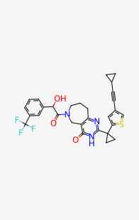 O=C(C(O)c1cccc(C(F)(F)F)c1)N1CCCc2nc(C3(c4cc(C#CC5CC5)cs4)CC3)[nH]c(=O)c2C1